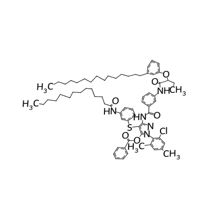 CCCCCCCCCCCCCCCc1cccc(OC(CC)C(=O)Nc2cccc(C(=O)Nc3nn(-c4c(C)cc(C)cc4Cl)c(OC(=O)c4ccccc4)c3Sc3cccc(NC(=O)CCCCCCCCCCCCC)c3)c2)c1